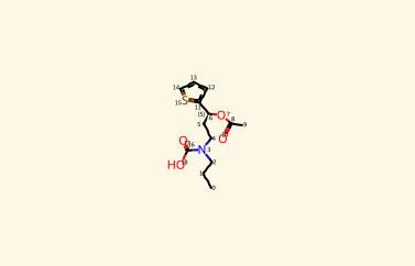 CCCN(CC[C@H](OC(C)=O)c1cccs1)C(=O)O